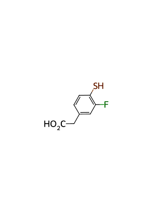 O=C(O)Cc1ccc(S)c(F)c1